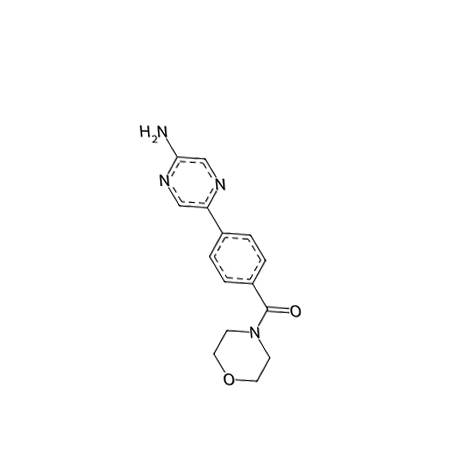 Nc1cnc(-c2ccc(C(=O)N3CCOCC3)cc2)cn1